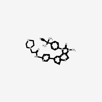 Cn1c(=O)n(-c2ccc(C(C)(C)C#N)cc2)c2c3cc(-c4ccc(NC(=O)CN5CCOCC5)nc4)ccc3ncc21